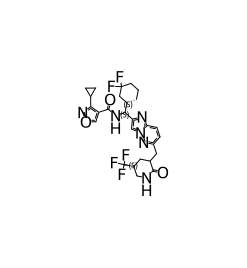 O=C(N[C@H](c1cn2nc(CC3C[C@H](C(F)(F)F)CNC3=O)ccc2n1)[C@H]1CCCC(F)(F)C1)c1conc1C1CC1